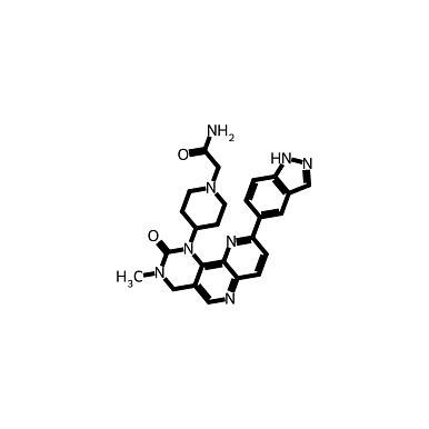 CN1Cc2cnc3ccc(-c4ccc5[nH]ncc5c4)nc3c2N(C2CCN(CC(N)=O)CC2)C1=O